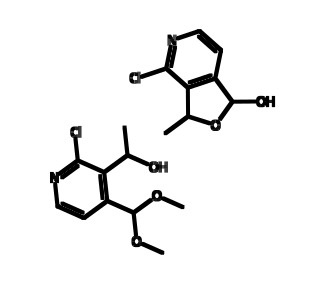 CC1OC(O)c2ccnc(Cl)c21.COC(OC)c1ccnc(Cl)c1C(C)O